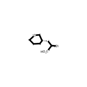 CCC(C[C@@H]1CCCOC1)C(=O)O